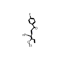 C=C/C(OCC)=C(\C=C\C(=O)c1ccc(F)cc1)CCC